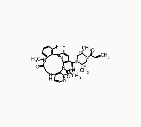 C=CC(=O)N1C[C@H](C)N(c2nc(=O)n3c4nc(c(F)cc24)-c2c(F)cccc2N(C)C(=O)CNc2ccnc(C(C)C)c2-3)C[C@H]1C